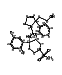 CS(=O)(=O)N1CCC(NC(=O)N2CC=CC2(CCO)c2ccccc2)(c2cc(F)ccc2F)C(F)C1